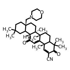 CC1(C)CC[C@]2(CN3CCOCC3)CC[C@]3(C)[C@H](C(=O)C=C4[C@@]5(C)C=C(C#N)C(=O)C(C)(C)C5CC[C@]43C)C2C1